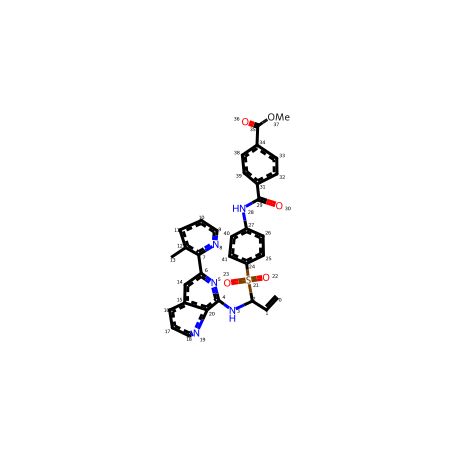 C=CC(Nc1nc(-c2ncccc2C)cc2cccnc12)S(=O)(=O)c1ccc(NC(=O)c2ccc(C(=O)OC)cc2)cc1